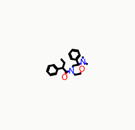 CCC(C(=O)N1CCOC(c2ccccc2)(N(C)C)C1)c1ccccc1